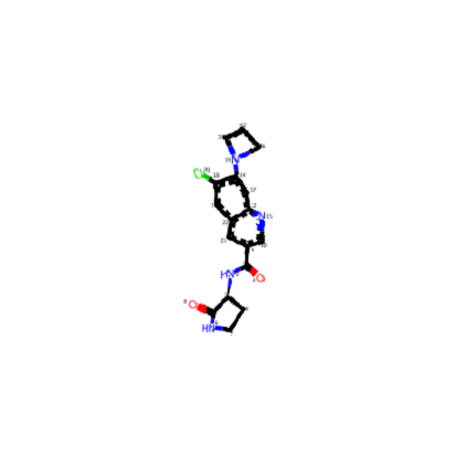 O=C(N[C@H]1CCNC1=O)c1cnc2cc(N3CCC3)c(Cl)cc2c1